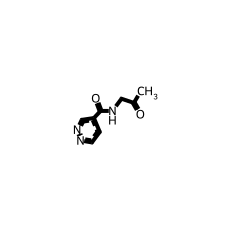 CC(=O)CNC(=O)c1ccnnc1